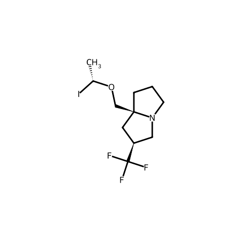 C[C@@H](I)OC[C@@]12CCCN1C[C@@H](C(F)(F)F)C2